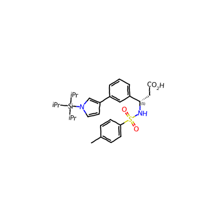 Cc1ccc(S(=O)(=O)N[C@@H](CC(=O)O)c2cccc(-c3ccn([Si](C(C)C)(C(C)C)C(C)C)c3)c2)cc1